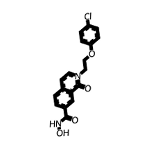 O=C(NO)c1ccc2ccn(CCOc3ccc(Cl)cc3)c(=O)c2c1